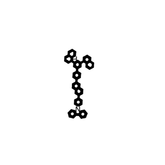 C1=CC2=CC=CC(c3cc(-c4ccc(-c5ccc6cc(-c7ccc(-n8c9ccccc9c9ccccc98)cc7)ccc6c5)cc4)cc(-c4cccc5c4C=CCC5)c3)[C@@H]2C=C1